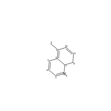 CC1=C2C=CC=NC2CC=C1